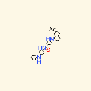 CC(=O)c1ccc2c(C)ccc(Nc3ccc(C(=O)Nc4ccc(Nc5ccc(C)cc5)cc4)cc3)c2c1